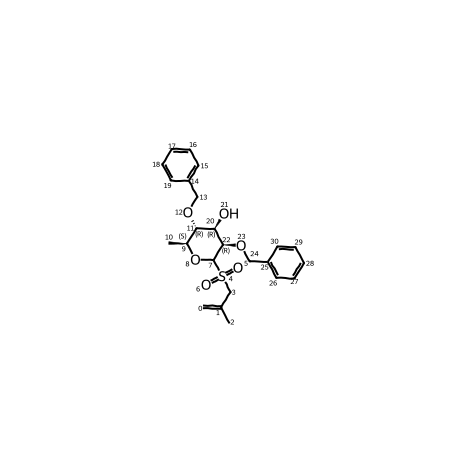 C=C(C)CS(=O)(=O)C1O[C@@H](C)[C@H](OCc2ccccc2)[C@@H](O)[C@H]1OCc1ccccc1